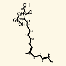 CC(C)=CCCC(C)=CCCCCCCC([PH](=O)CO)P(=O)(O)O